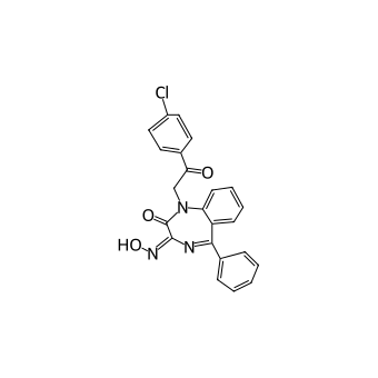 O=C(Cn1c(=O)c(=NO)nc(-c2ccccc2)c2ccccc21)c1ccc(Cl)cc1